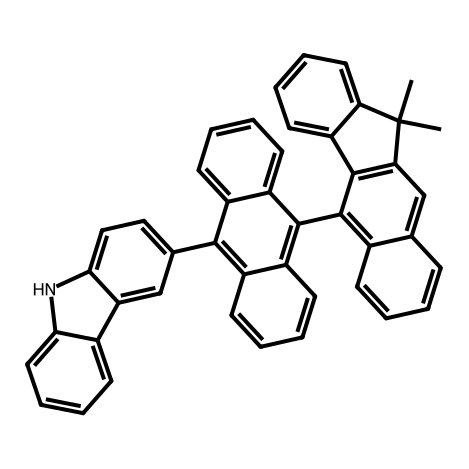 CC1(C)c2ccccc2-c2c1cc1ccccc1c2-c1c2ccccc2c(-c2ccc3[nH]c4ccccc4c3c2)c2ccccc12